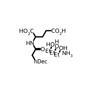 CCCCCCCCCCCC(=O)NC(CCC(=O)O)C(=O)O.CCO.CCO.CCO.N